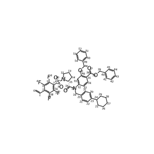 C=Cc1c(F)c(F)c(S(=O)(=O)N2CCC[C@@H]2C(=O)N(Cc2ccc(C3CCCCC3)cc2)c2ccc(C(=O)OCc3ccccc3)c(OCc3ccccc3)c2)c(F)c1F